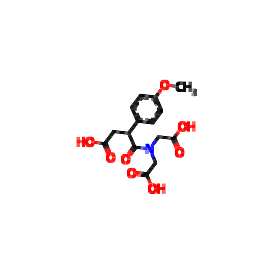 COc1ccc(C(CC(=O)O)C(=O)N(CC(=O)O)CC(=O)O)cc1